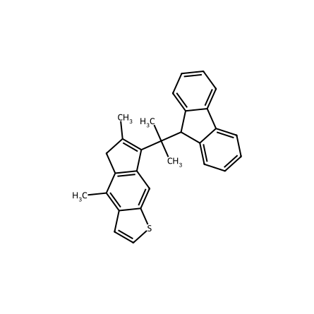 CC1=C(C(C)(C)C2c3ccccc3-c3ccccc32)c2cc3sccc3c(C)c2C1